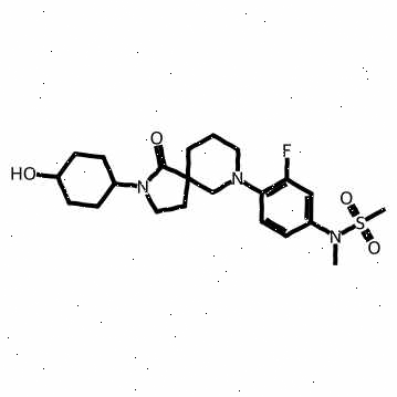 CN(c1ccc(N2CCCC3(CCN(C4CCC(O)CC4)C3=O)C2)c(F)c1)S(C)(=O)=O